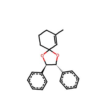 CC1=CC2(CCC1)O[C@H](c1ccccc1)[C@@H](c1ccccc1)O2